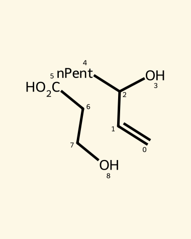 C=CC(O)CCCCC.O=C(O)CCO